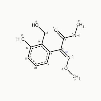 CNC(=O)/C(=N/OC)c1cccc(C)c1CO